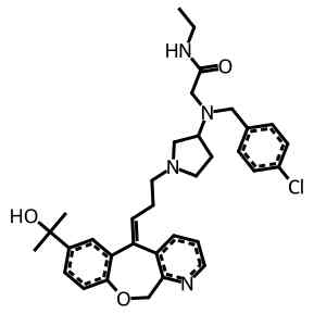 CCNC(=O)CN(Cc1ccc(Cl)cc1)C1CCN(CCC=C2c3cc(C(C)(C)O)ccc3OCc3ncccc32)C1